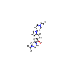 CCCN1CCC(n2ccc3cc(C(=O)N4CCN(C(C)C)CC4)ccc32)CC1